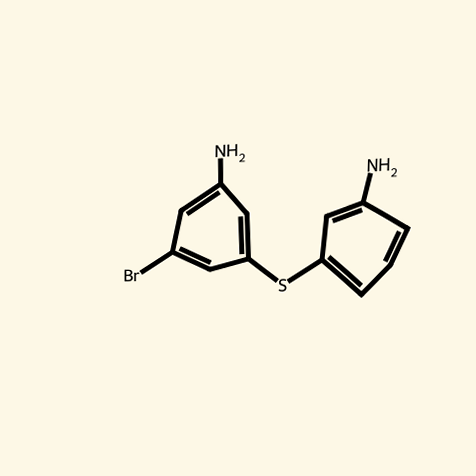 Nc1cccc(Sc2cc(N)cc(Br)c2)c1